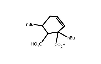 CCCCC1CC=CC(CCCC)(C(=O)O)C1C(=O)O